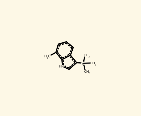 Cc1cccc2c([Si](C)(C)C)c[nH]c12